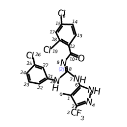 Cc1c(C(F)(F)F)n[nH]c1N/C(=N\C(=O)c1ccc(Cl)cc1Cl)Nc1cccc(Cl)c1